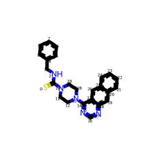 S=C(NCc1ccccc1)N1CCN(c2ncnc3cc4ccccc4cc23)CC1